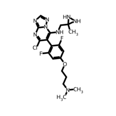 CN(C)CCCOc1cc(F)c(-c2c(Cl)nc3ncnn3c2NCC2(C)NN2)c(F)c1